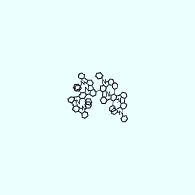 c1ccc(-c2c3c4cccc5c6c(-c7ccc8c9c(-c%10ccccc%10)c%10c(c(-c%11ccccc%11)c9n9c8c7c7ccc8c%11ccccc%11n(-c%11ccccc%11)c8c79)c7cccc8c9ccc%11c%12ccccc%12n(-c%12ccccc%12)c%11c9n%10c87)cc7c(c8ccccc8n7-c7ccccc7)c6n(c3c(-c3ccccc3)c3c6cccc7c8ccc9c(c%10ccccc%10n9-c9ccccc9)c8n(c23)c76)c45)cc1